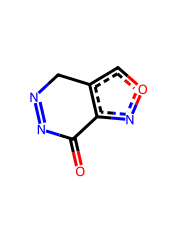 O=C1N=NCc2conc21